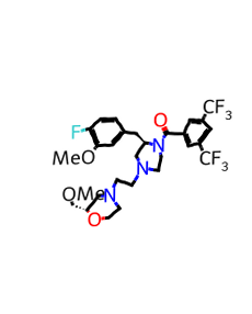 COC[C@@H]1CN(CCN2CCN(C(=O)c3cc(C(F)(F)F)cc(C(F)(F)F)c3)[C@H](Cc3ccc(F)c(OC)c3)C2)CCO1